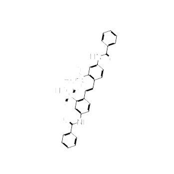 O=C(Nc1ccc(C=Cc2ccc(NC(=O)c3ccccc3)cc2S(=O)(=O)O)c(S(=O)(=O)O)c1)c1ccccc1